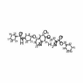 COc1cc2c(Oc3ccc(NC(=O)c4ccccc4)cc3)ccnc2cc1OCC[C@H](N)C(=O)OCc1ccccc1